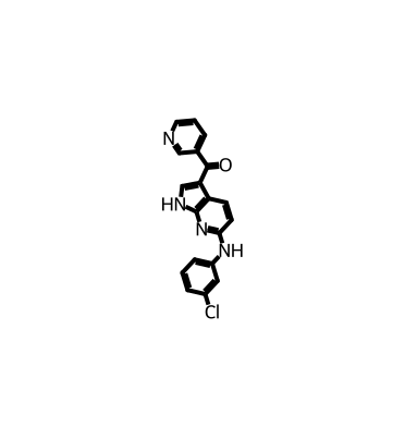 O=C(c1cccnc1)c1c[nH]c2nc(Nc3cccc(Cl)c3)ccc12